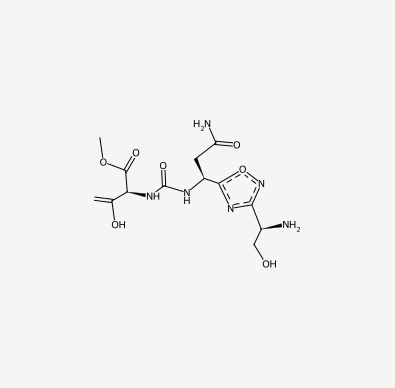 C=C(O)[C@H](NC(=O)N[C@@H](CC(N)=O)c1nc([C@@H](N)CO)no1)C(=O)OC